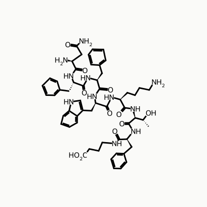 C[C@@H](O)[C@H](NC(=O)[C@H](CCCCN)NC(=O)[C@@H](Cc1c[nH]c2ccccc12)NC(=O)[C@H](Cc1ccccc1)NC(=O)[C@H](Cc1ccccc1)NC(=O)[C@@H](N)CC(N)=O)C(=O)N[C@@H](Cc1ccccc1)C(=O)NCCCC(=O)O